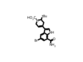 CC(C)(C)C1CC(c2c[nH]c3c(C(N)=O)cc(Br)cc23)=CCN1C(=O)O